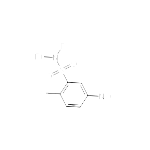 CCN(CC)S(=O)(=O)c1cc([N+](=O)[O-])ccc1Cl